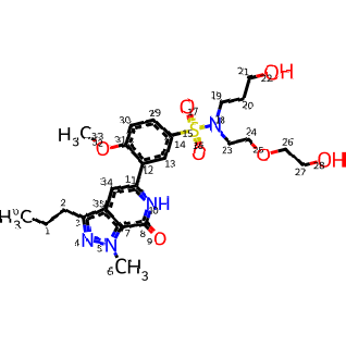 CCCc1nn(C)c2c(=O)[nH]c(-c3cc(S(=O)(=O)N(CCCO)CCOCCO)ccc3OC)cc12